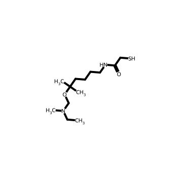 CCN(C)COC(C)(C)CCCCNC(=O)CS